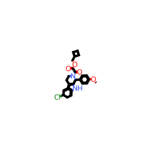 COc1ccc(C2c3[nH]c4c(c3CCN2C(=O)C(=O)OCC2CCC2)=CC(Cl)CC=4)cc1